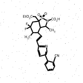 CCOC(=O)CC12CC(F)(F)C(C)C(C=Cc3ccc(-c4ccccc4C#N)cn3)C1C(C)N(C(=O)O)S2(=O)=O